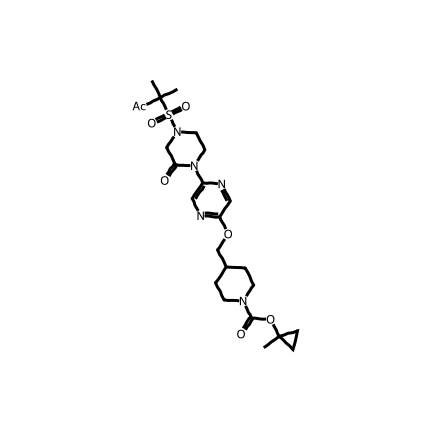 CC(=O)C(C)(C)S(=O)(=O)N1CCN(c2cnc(OCC3CCN(C(=O)OC4(C)CC4)CC3)cn2)C(=O)C1